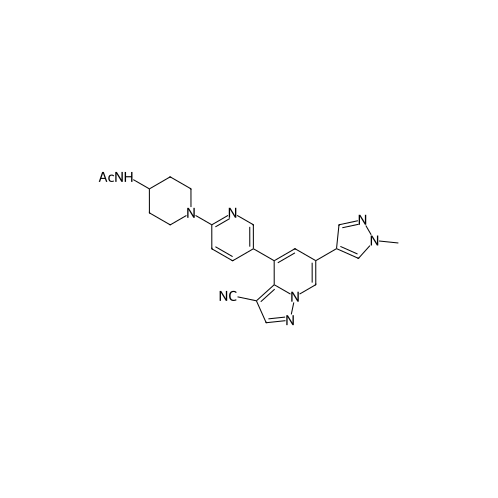 CC(=O)NC1CCN(c2ccc(-c3cc(-c4cnn(C)c4)cn4ncc(C#N)c34)cn2)CC1